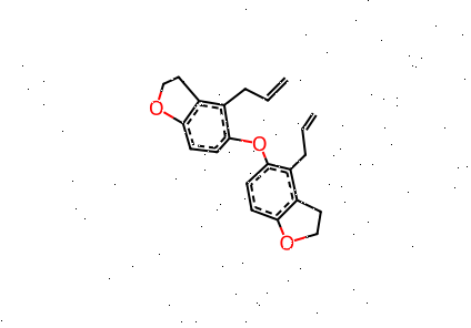 C=CCc1c(Oc2ccc3c(c2CC=C)CCO3)ccc2c1CCO2